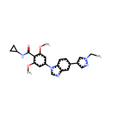 CCn1cc(-c2ccc3c(c2)ncn3-c2cc(OC)c(C(=O)NC3CC3)c(OC)c2)cn1